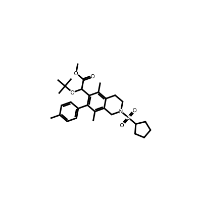 COC(=O)C(OC(C)(C)C)c1c(C)c2c(c(C)c1-c1ccc(C)cc1)CN(S(=O)(=O)C1CCCC1)CC2